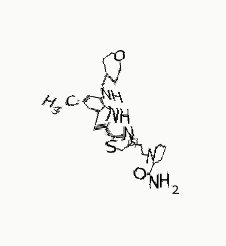 Cc1cc(NCC2CCOCC2)c2[nH]c(C3=N[C@@H](CCN4CCCC4C(N)=O)CS3)cc2c1